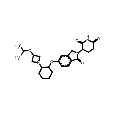 CC(C)OC1CN(C2CCCCC2Oc2ccc3c(c2)CN(C2CCC(=O)NC2=O)C3=O)C1